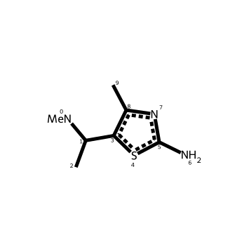 CNC(C)c1sc(N)nc1C